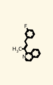 CC(=CCc1cccc(F)c1)c1nccc2ccccc12